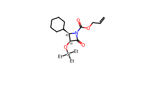 C=CCOC(=O)N1C(=O)[C@@H](O[Si](CC)(CC)CC)[C@H]1C1CCCCC1